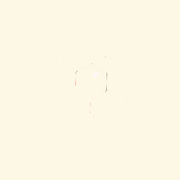 O=C(/C=C\C(=O)OO)OO.[AlH3]